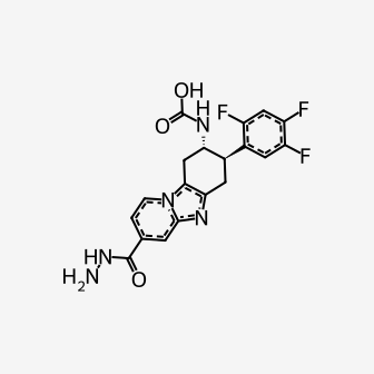 NNC(=O)c1ccn2c3c(nc2c1)C[C@H](c1cc(F)c(F)cc1F)[C@@H](NC(=O)O)C3